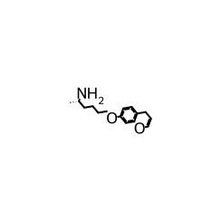 C[C@H](N)CCCCOc1ccc2c(c1)OC=CC2